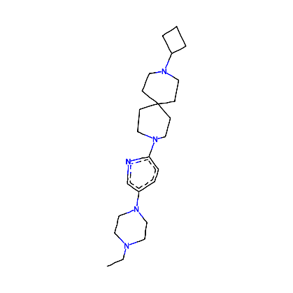 CCN1CCN(c2ccc(N3CCC4(CC3)CCN(C3CCC3)CC4)nc2)CC1